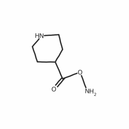 NOC(=O)C1CCNCC1